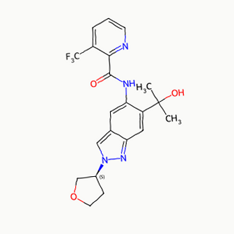 CC(C)(O)c1cc2nn([C@H]3CCOC3)cc2cc1NC(=O)c1ncccc1C(F)(F)F